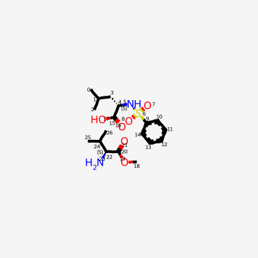 CC(C)C[C@H](NS(=O)(=O)c1ccccc1)C(=O)O.COC(=O)[C@@H](N)C(C)C